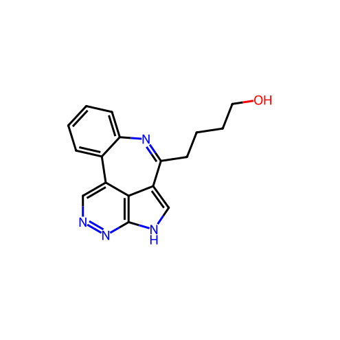 OCCCCC1=Nc2ccccc2-c2cnnc3[nH]cc1c23